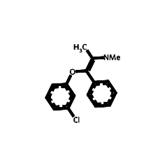 CNC(C)=C(Oc1cccc(Cl)c1)c1ccccc1